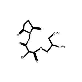 CCC(C(=O)OCC(COC)OC)C(=O)ON1C(=O)CCC1=O